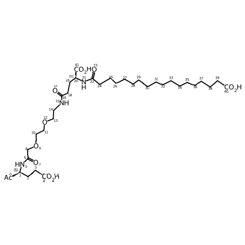 CC(=O)[C@H](CCC(=O)O)NC(=O)COCCOCCNC(=O)CC[C@H](NC(=O)CCCCCCCCCCCCCCCCC(=O)O)C(=O)O